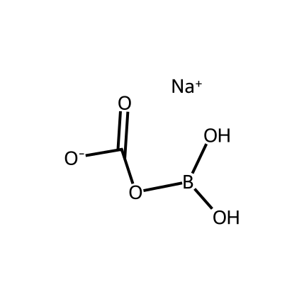 O=C([O-])OB(O)O.[Na+]